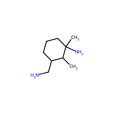 CC1C(CN)CCCC1(C)N